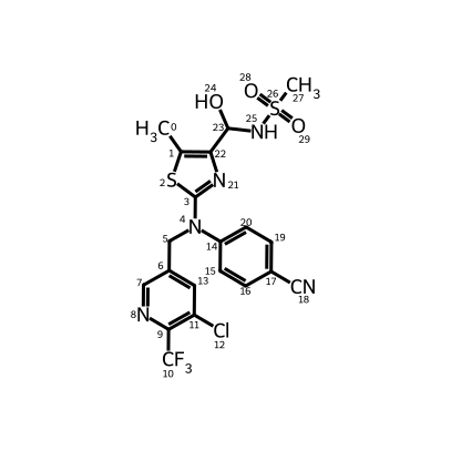 Cc1sc(N(Cc2cnc(C(F)(F)F)c(Cl)c2)c2ccc(C#N)cc2)nc1C(O)NS(C)(=O)=O